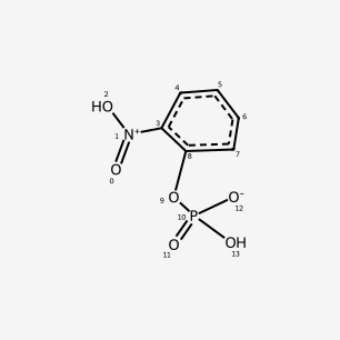 O=[N+](O)c1ccccc1OP(=O)([O-])O